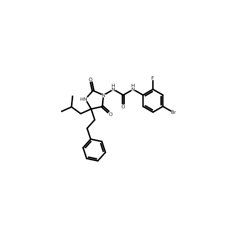 CC(C)CC1(CCc2ccccc2)NC(=O)N(NC(=O)Nc2ccc(Br)cc2F)C1=O